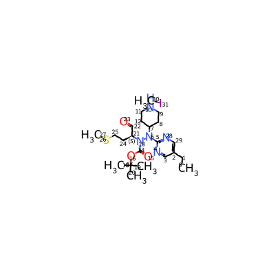 CCc1cnc(N(C2CCNCC2)N(C(=O)OC(C)(C)C)[C@H](C=O)CCSC)nc1.CI